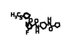 CSc1cccc(Oc2ncc(F)cc2C(=O)N[C@H]2CC[C@@H](NC(=O)C3CCCC3)CC2)c1